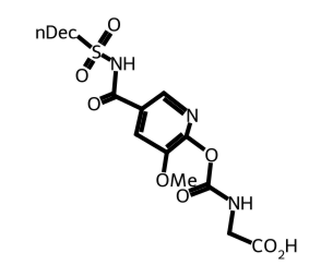 CCCCCCCCCCS(=O)(=O)NC(=O)c1cnc(OC(=O)NCC(=O)O)c(OC)c1